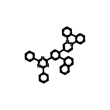 C1=CC(c2ccc(-c3nc(-c4ccccc4)nc(-c4ccccc4)n3)cc2-c2cccc3ccccc23)=CN2B1c1ccccc1-c1ccccc12